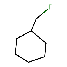 FCC1[CH]CCCC1